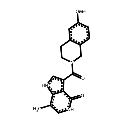 COc1ccc2c(c1)CCN(C(=O)c1c[nH]c3c(C)c[nH]c(=O)c13)C2